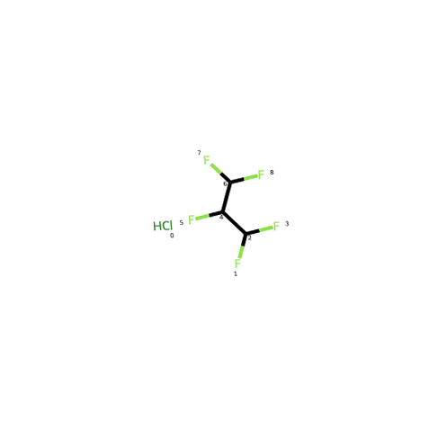 Cl.FC(F)C(F)C(F)F